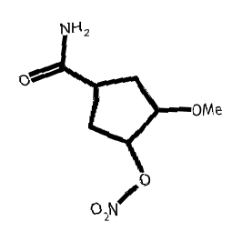 COC1CC(C(N)=O)CC1O[N+](=O)[O-]